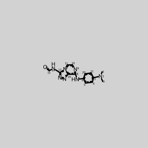 CN(C)c1ccc(Nc2nccn3c(NC=O)nnc23)cc1